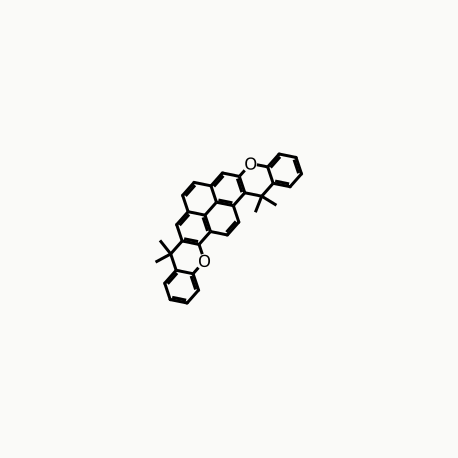 CC1(C)c2ccccc2Oc2c1cc1ccc3cc4c(c5ccc2c1c35)C(C)(C)c1ccccc1O4